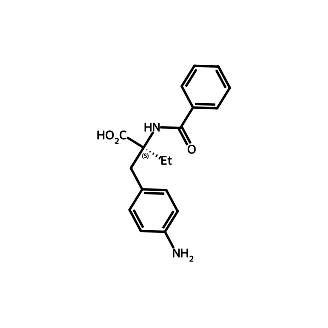 CC[C@@](Cc1ccc(N)cc1)(NC(=O)c1ccccc1)C(=O)O